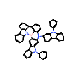 c1ccc(-n2c3ccccc3c3ccc(N4c5cc6c(cc5B5c7c(cccc74)-c4cccc7c8ccccc8n5c47)c4ccccc4n6-c4ccccc4)cc32)cc1